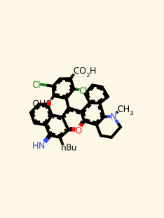 CCCCc1c2oc3c4c(c5ccccc5c3c(-c3c(Cl)c(C(=O)O)cc(Cl)c3C=O)c-2c2ccccc2c1=N)N(C)CCC4